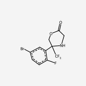 O=C1CNC(c2cc(Br)ccc2F)(C(F)(F)F)CO1